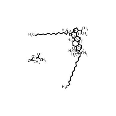 C=C(C)[C@@H]1CC[C@]2(C[N+](C)(C)CCCCCCCCCCCCCC)CC[C@]3(C)[C@H](CC[C@@H]4[C@@]5(C)CCC([N+](C)(C)CCCCCCCCCCCCCC)C(C)(C)[C@@H]5CC[C@]43C)[C@@H]12.CC(=O)[O-].CC(=O)[O-]